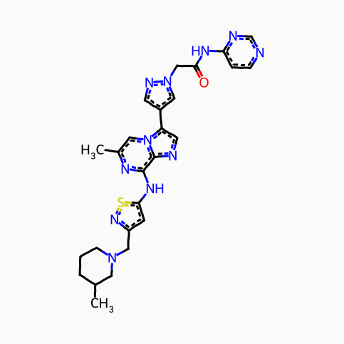 Cc1cn2c(-c3cnn(CC(=O)Nc4ccncn4)c3)cnc2c(Nc2cc(CN3CCCC(C)C3)ns2)n1